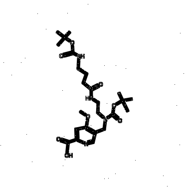 COc1cc(C(=O)O)ncc1CN(CCNC(=O)CCCNC(=O)OC(C)(C)C)C(=O)OC(C)(C)C